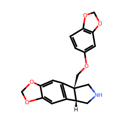 c1cc2c(cc1OC[C@@]13CNC[C@@H]1c1cc4c(cc13)OCO4)OCO2